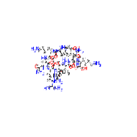 CC(C)[C@H](NC(=O)[C@H](CCCNC(=N)N)NC(=O)[C@H](CCC(N)=O)NC(=O)[C@H](CCCCN)NC(=O)[C@@H](N)Cc1ccc(O)cc1)C(=O)N[C@@H](CCCCN)C(=O)N[C@@H](CC(N)=O)C(=O)N[C@@H](CCCCN)C(=O)O